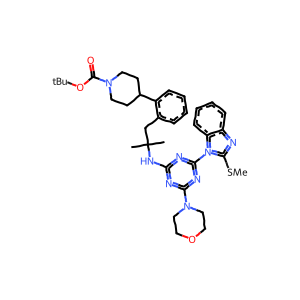 CSc1nc2ccccc2n1-c1nc(NC(C)(C)Cc2ccccc2C2CCN(C(=O)OC(C)(C)C)CC2)nc(N2CCOCC2)n1